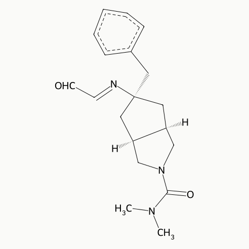 CN(C)C(=O)N1C[C@@H]2C[C@](Cc3ccccc3)(N=CC=O)C[C@@H]2C1